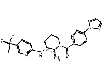 C[C@H]1[C@H](Nc2ccc(C(F)(F)F)cn2)CCCN1C(=O)c1ccc(-n2nccn2)cn1